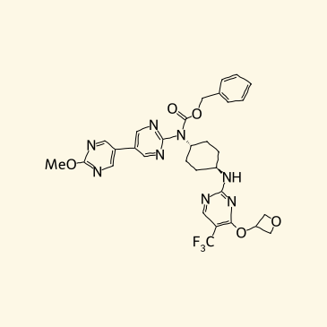 COc1ncc(-c2cnc(N(C(=O)OCc3ccccc3)[C@H]3CC[C@H](Nc4ncc(C(F)(F)F)c(OC5COC5)n4)CC3)nc2)cn1